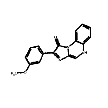 O=c1c(-c2cccc(OC(F)(F)F)c2)nc2c[nH]c3ccccc3n1-2